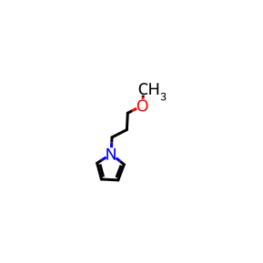 COCCCn1cccc1